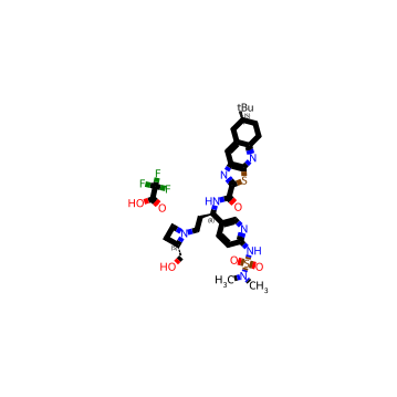 CN(C)S(=O)(=O)Nc1ccc([C@@H](CCN2CC[C@H]2CO)NC(=O)c2nc3cc4c(nc3s2)CC[C@H](C(C)(C)C)C4)cn1.O=C(O)C(F)(F)F